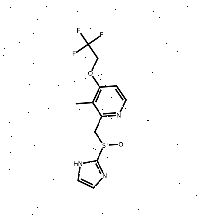 Cc1c(OCC(F)(F)F)ccnc1C[S+]([O-])c1ncc[nH]1